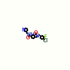 O=C(NCc1cccnc1)c1ccc2c(c1)C(=O)N(Cc1ccc(Cl)c(F)c1)C2